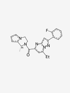 CCc1cc(C(=O)N2CCn3cccc3[C@H]2C)nc2cc(-c3ccccc3F)nn12